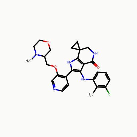 Cc1c(Cl)cccc1Nc1c(-c2ccncc2OCC2COCCN2C)[nH]c2c1C(=O)NCC21CC1